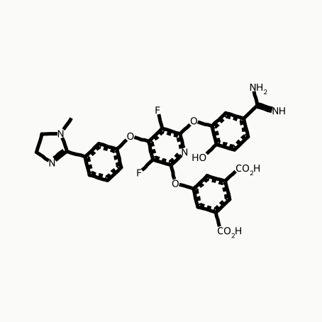 CN1CCN=C1c1cccc(Oc2c(F)c(Oc3cc(C(=O)O)cc(C(=O)O)c3)nc(Oc3cc(C(=N)N)ccc3O)c2F)c1